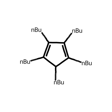 CCCCC1=C(CCCC)C(CCCC)C(CCCC)=C1CCCC